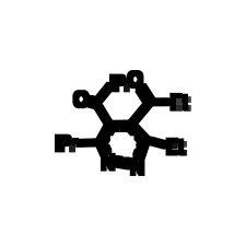 CCC(=O)c1c(CC)nnc(C(C)C)c1C(=O)C(C)C